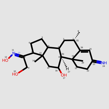 C[C@H]1CC2C3CCC(/C(CO)=N/O)C3(C)CC(O)[C@@H]2C2(C)CCC(=N)C=C12